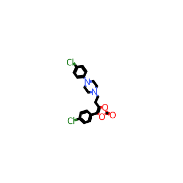 O=c1oc(CCN2CCN(c3ccc(Cl)cc3)CC2)c(-c2ccc(Cl)cc2)o1